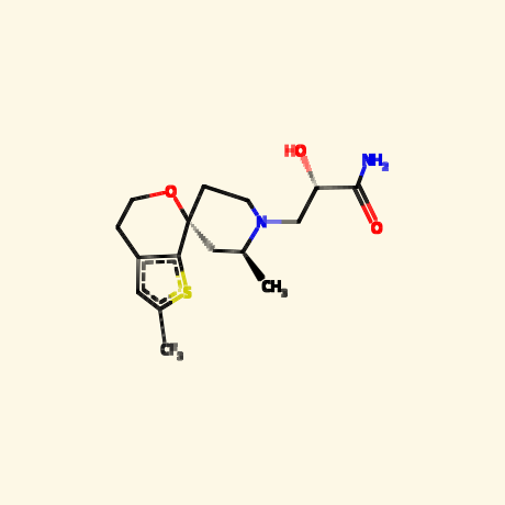 C[C@H]1C[C@@]2(CCN1C[C@H](O)C(N)=O)OCCc1cc(C(F)(F)F)sc12